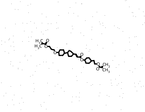 C=C(C)C(=O)OCCCOC1CCC(C2CCC(/C=C/C(=O)OC3CCC(CCOC(=O)C(=C)C)CC3)CC2)CC1